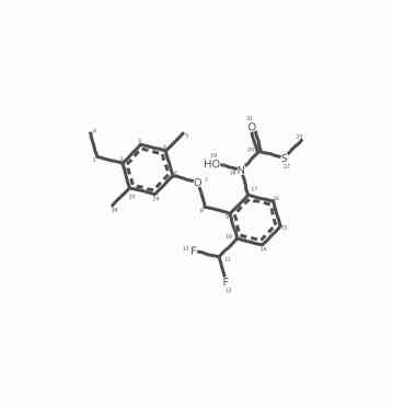 CCc1cc(C)c(OCc2c(C(F)F)cccc2N(O)C(=O)SC)cc1C